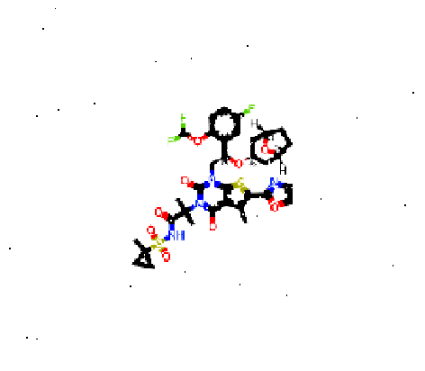 Cc1c(-c2ncco2)sc2c1c(=O)n(C(C)(C)C(=O)NS(=O)(=O)C1(C)CC1)c(=O)n2C[C@H](O[C@H]1C[C@H]2CC[C@@H](C1)O2)c1cc(F)ccc1OC(F)F